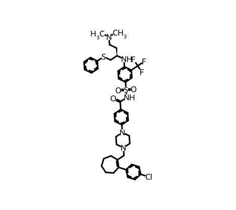 CN(C)CC[C@H](CSc1ccccc1)Nc1ccc(S(=O)(=O)NC(=O)c2ccc(N3CCN(CC4=C(c5ccc(Cl)cc5)CCCCC4)CC3)cc2)cc1C(F)(F)F